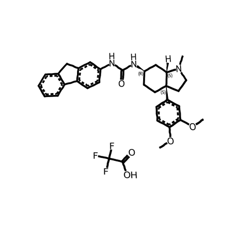 COc1ccc([C@@]23CC[C@@H](NC(=O)Nc4ccc5c(c4)Cc4ccccc4-5)C[C@@H]2N(C)CC3)cc1OC.O=C(O)C(F)(F)F